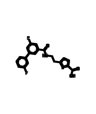 O=C(NCCc1ccc(C(=O)O)s1)c1cc(F)cc(-c2cccc(F)c2)c1